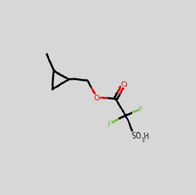 CC1CC1COC(=O)C(F)(F)S(=O)(=O)O